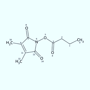 CCCC(=O)ON1C(=O)C(C)=C(C)C1=O